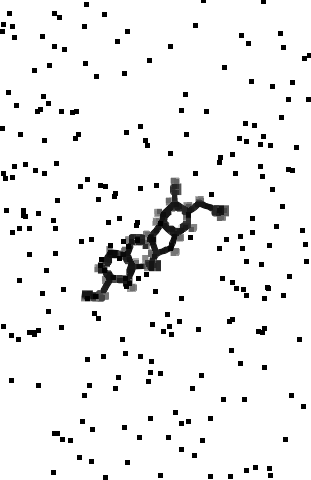 CSc1ncc(C(=O)O)c(NC2Cc3cc(Cl)c(CO)cc3C2)n1